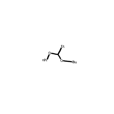 CCCOC(CC)OC(C)CC